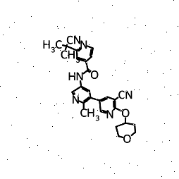 Cc1ncc(NC(=O)c2ccnc(C(C)(C)C#N)c2)cc1-c1cnc(OC2CCOCC2)c(C#N)c1